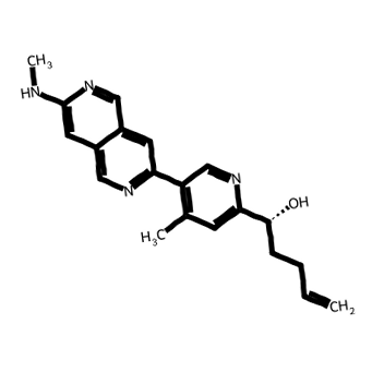 C=CCC[C@@H](O)c1cc(C)c(-c2cc3cnc(NC)cc3cn2)cn1